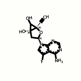 C#C[C@]12O[C@@H](n3cc(F)c4c(N)ncnc43)C[C@@]1(O)C2O